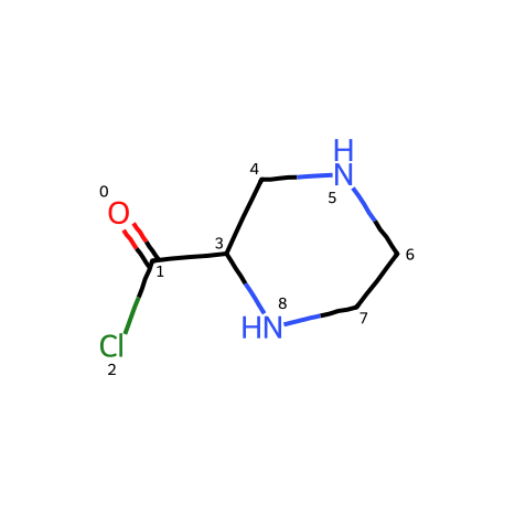 O=C(Cl)C1CNCCN1